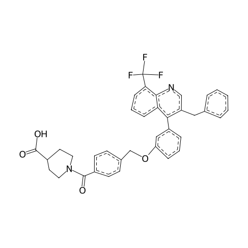 O=C(O)C1CCN(C(=O)c2ccc(COc3cccc(-c4c(Cc5ccccc5)cnc5c(C(F)(F)F)cccc45)c3)cc2)CC1